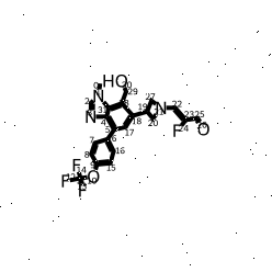 Cn1cnc2c(-c3ccc(OC(F)(F)F)cc3)cc(C3CN(C=C(F)C=O)C3)c(CO)c21